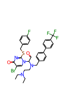 CCN(CC)CCN(Cc1ccc(-c2ccc(C(F)(F)F)cc2)cc1)C(C=O)n1cc(Br)c(=O)nc1SCc1ccc(F)cc1